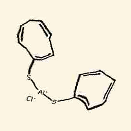 [Cl-].c1ccc([S][Al+][S]c2ccccc2)cc1